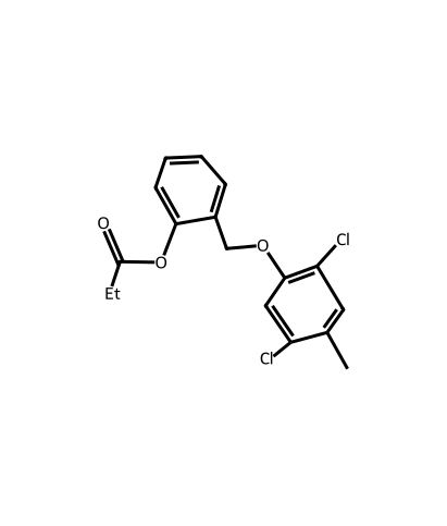 CCC(=O)Oc1ccccc1COc1cc(Cl)c(C)cc1Cl